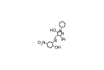 CC(C)c1nn(-c2ccccc2)c(O)c1/C=N/c1cc([N+](=O)[O-])ccc1O